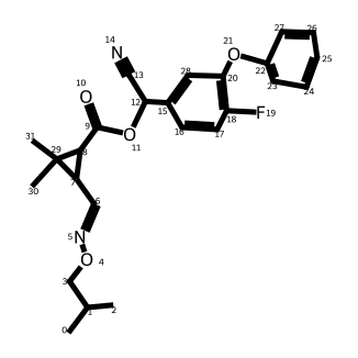 CC(C)CON=CC1C(C(=O)OC(C#N)c2ccc(F)c(Oc3ccccc3)c2)C1(C)C